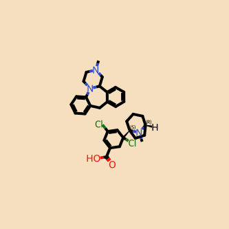 CN1CCN2c3ccccc3Cc3ccccc3C2C1.CN1[C@@H]2CCC[C@@]1(C1(Cl)C=C(Cl)C=C(C(=O)O)C1)CC2